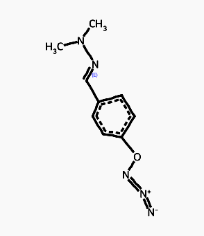 CN(C)/N=C/c1ccc(ON=[N+]=[N-])cc1